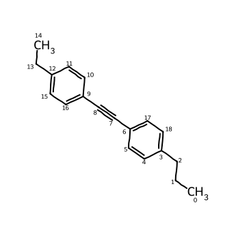 CCCc1ccc(C#Cc2ccc(CC)cc2)cc1